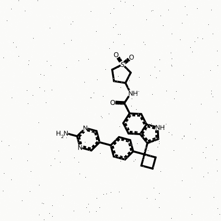 Nc1ncc(-c2ccc(C3(c4c[nH]c5cc(C(=O)NC6CCS(=O)(=O)C6)ccc45)CCC3)cc2)cn1